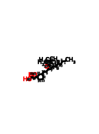 CCCCCCCCC(/C=C/C1CCCC(O)(CC(=O)O)C1)O[Si](C)(C)C(C)(C)C